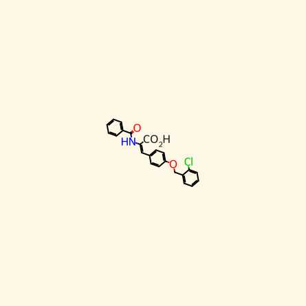 O=C(O)/C(=C\c1ccc(OCc2ccccc2Cl)cc1)NC(=O)c1ccccc1